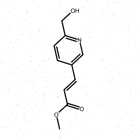 COC(=O)C=Cc1ccc(CO)nc1